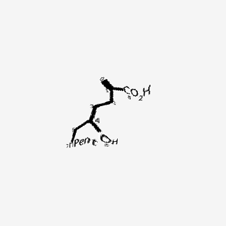 C=C(CCC(O)CCCCCC)C(=O)O